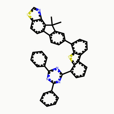 CC1(C)c2cc(-c3cccc4c3sc3c(-c5nc(-c6ccccc6)nc(-c6ccccc6)n5)cccc34)ccc2-c2ccc3scnc3c21